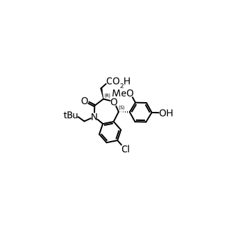 COc1cc(O)ccc1[C@H]1O[C@H](CC(=O)O)C(=O)N(CC(C)(C)C)c2ccc(Cl)cc21